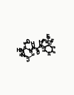 CC1=NNC(C=O)N(NC(=O)Nc2ccccc2C(F)(F)F)C1